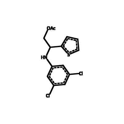 CC(=O)OCC(Nc1cc(Cl)cc(Cl)c1)c1cccs1